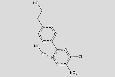 CC#N.O=[N+]([O-])c1cnc(-c2ccc(CCO)cc2)nc1Cl